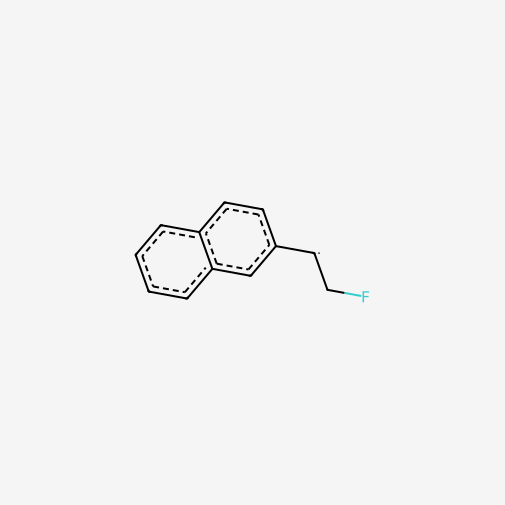 FC[CH]c1ccc2ccccc2c1